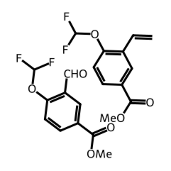 C=Cc1cc(C(=O)OC)ccc1OC(F)F.COC(=O)c1ccc(OC(F)F)c(C=O)c1